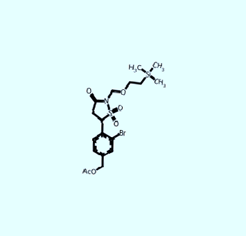 CC(=O)OCc1ccc(C2CC(=O)N(COCC[Si](C)(C)C)S2(=O)=O)c(Br)c1